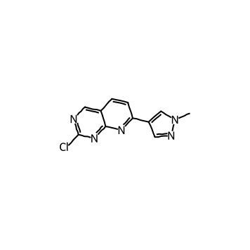 Cn1cc(-c2ccc3cnc(Cl)nc3n2)cn1